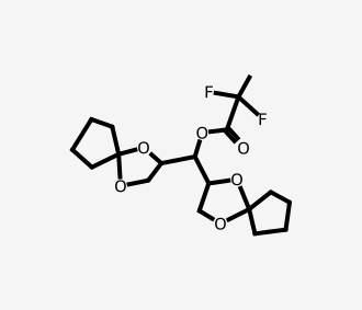 CC(F)(F)C(=O)OC(C1COC2(CCCC2)O1)C1COC2(CCCC2)O1